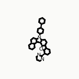 c1ccc(-c2ccc(-n3c4ccc5ccccc5c4c4c5oc6c(-c7ncccn7)cccc6c5ccc43)cc2)cc1